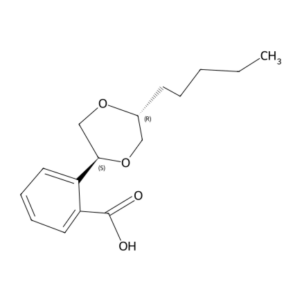 CCCCC[C@@H]1CO[C@@H](c2ccccc2C(=O)O)CO1